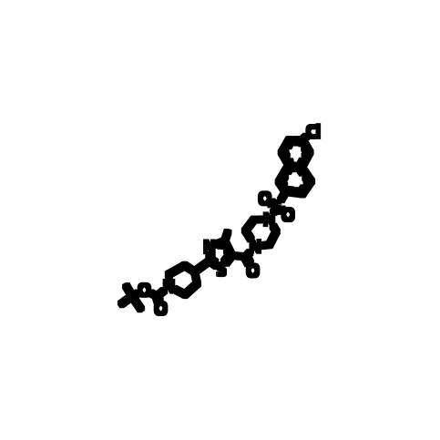 Cc1nc(C2CCN(C(=O)OC(C)(C)C)CC2)sc1C(=O)N1CCN(S(=O)(=O)c2ccc3cc(Cl)ccc3c2)CC1